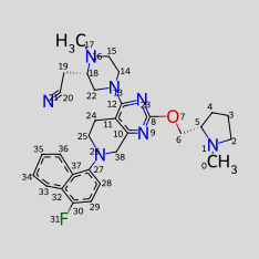 CN1CCC[C@H]1COc1nc2c(c(N3CCN(C)[C@@H](CC#N)C3)n1)CCN(c1ccc(F)c3ccccc13)C2